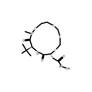 CN1CCCCCCCC[C@H](CC(=O)NO)C(=O)N[C@@H](C(C)(C)C)C1=O